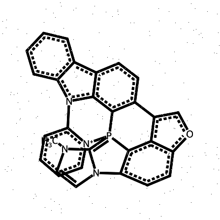 CN1C=CN2C1=P13c4c2ccc2occ(c42)-c2ccc4c5ccccc5n(c4c21)-c1cccc[n+]13